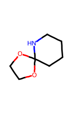 C1CCC2(NC1)OCCO2